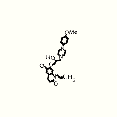 C=CCN1C(=O)CCc2cc(Cl)c(OCC(O)CN3CCN(c4ccc(OC)cc4)CC3)cc21